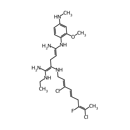 CCN/C(N)=C(/C/C=C(\N)Nc1ccc(NC)cc1OC)NC/C=C(\Cl)C=CC/C(F)=C(\C)Cl